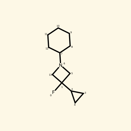 FC1(C2CC2)CN(C2CCCCC2)C1